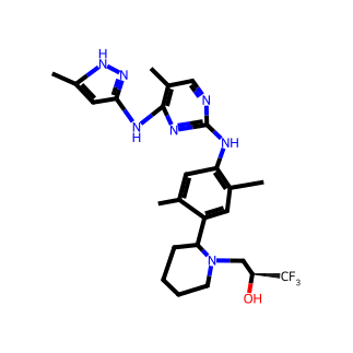 Cc1cc(Nc2nc(Nc3cc(C)c(C4CCCCN4C[C@H](O)C(F)(F)F)cc3C)ncc2C)n[nH]1